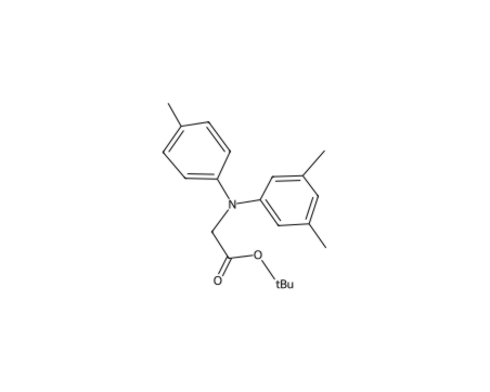 Cc1ccc(N(CC(=O)OC(C)(C)C)c2cc(C)cc(C)c2)cc1